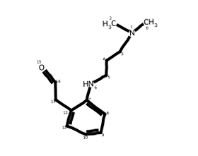 CN(C)CCCNc1ccccc1CC=O